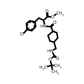 COC(=O)C(Cc1ccc(Cl)cc1)NC(=O)C1CCC(CNC(=O)OC(C)(C)C)CC1